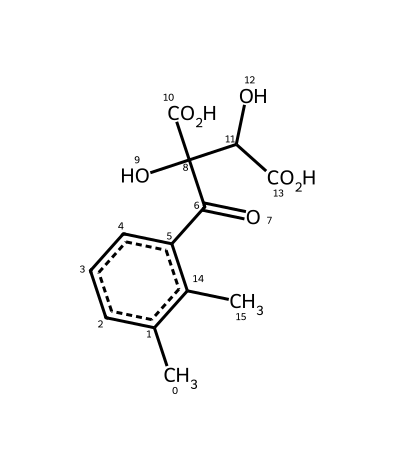 Cc1cccc(C(=O)C(O)(C(=O)O)C(O)C(=O)O)c1C